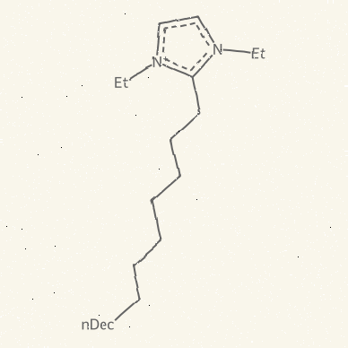 CCCCCCCCCCCCCCCCCc1n(CC)cc[n+]1CC